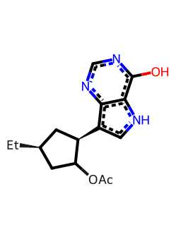 CC[C@@H]1CC(OC(C)=O)[C@H](c2c[nH]c3c(O)ncnc23)C1